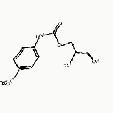 CCOC(=O)c1ccc(NC(=O)OCC(O)CO)cc1